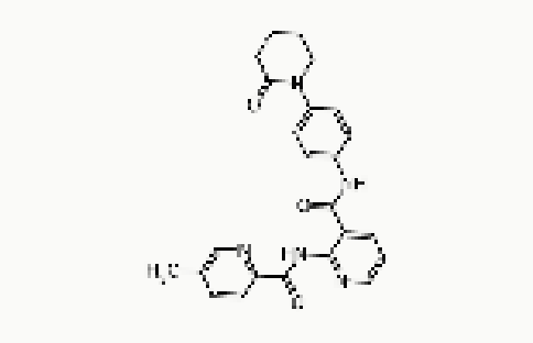 Cc1ccc(C(=O)Nc2ncccc2C(=O)Nc2ccc(N3CCCCC3=O)cc2)nc1